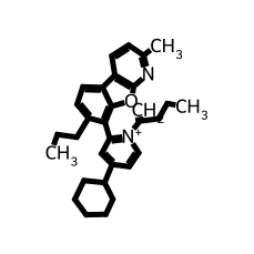 C=C(CCC)[n+]1ccc(C2CCCCC2)cc1-c1c(CCC)ccc2c1oc1nc(C)ccc12